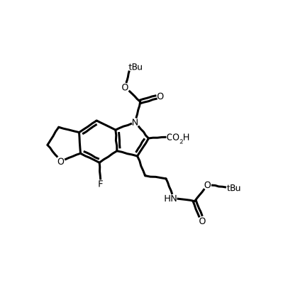 CC(C)(C)OC(=O)NCCc1c(C(=O)O)n(C(=O)OC(C)(C)C)c2cc3c(c(F)c12)OCC3